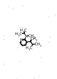 C=C(c1cccnc1N(C)C(C)C)C(C)C